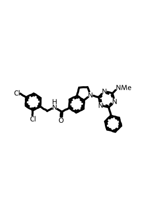 CNc1nc(-c2ccccc2)nc(N2CCc3cc(C(=O)NCc4ccc(Cl)cc4Cl)ccc32)n1